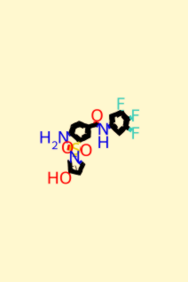 Nc1ccc(C(=O)Nc2cc(F)c(F)c(F)c2)cc1S(=O)(=O)N1CC[C@H](O)C1